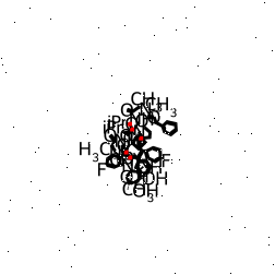 CC(C)[C@H](NC(=O)[C@H](C)N(C)C(=O)OCc1ccccc1)C(=O)N1CCCC1Cc1c(-c2c(C[C@@H]3CCCN3C(=O)[C@@H](NC(=O)[C@H](C)N(C)C(=O)OCc3ccccc3)C(C)C)c3ccc(F)cc3n2[C@H]2O[C@@H](C)[C@@H](O)[C@@H](O)[C@@H]2O)[nH]c2cc(F)ccc12